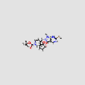 CSc1ncc2c(=O)n(CC3(O)CCN(C(=O)OC(C)(C)C)CC34CCCC4)n(C)c2n1